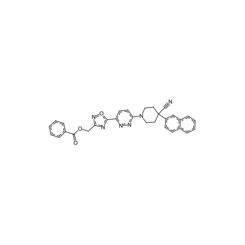 N#CC1(c2ccc3ccccc3c2)CCN(c2ccc(-c3nc(COC(=O)c4ccccc4)no3)nn2)CC1